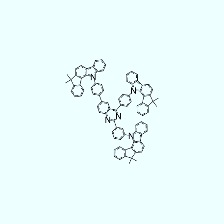 CC1(C)c2ccccc2-c2c1ccc1c3ccccc3n(-c3ccc(-c4ccc5nc(-c6cccc(-n7c8ccccc8c8ccc9c(c87)-c7ccccc7C9(C)C)c6)nc(-c6ccc(-n7c8ccccc8c8ccc9c(c87)-c7ccccc7C9(C)C)cc6)c5c4)cc3)c21